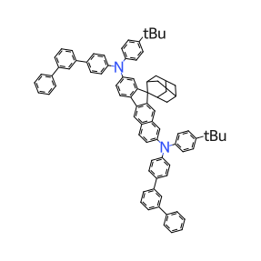 CC(C)(C)c1ccc(N(c2ccc(-c3cccc(-c4ccccc4)c3)cc2)c2ccc3c(c2)C2(c4cc5cc(N(c6ccc(-c7cccc(-c8ccccc8)c7)cc6)c6ccc(C(C)(C)C)cc6)ccc5cc4-3)C3CC4CC(C3)CC2C4)cc1